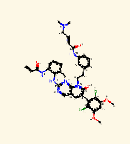 C=CC(=O)Nc1cccc(C)c1Nc1ncc2cc(-c3c(Cl)c(OC)cc(OC)c3Cl)c(=O)n(CCc3cccc(NC(=O)/C=C/CN(C)C)c3)c2n1